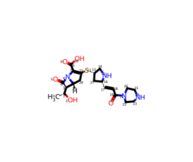 C[C@@H](O)[C@H]1C(=O)N2C(C(=O)O)=C(S[C@@H]3CN[C@H](/C=C/C(=O)N4CCNCC4)C3)C[C@H]12